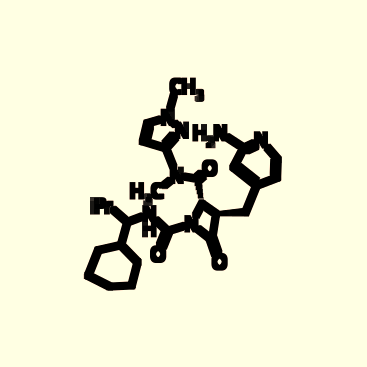 CC(C)C(NC(=O)N1C(=O)[C@H](Cc2ccnc(N)c2)[C@H]1C(=O)N(C)c1ccn(C)n1)C1CCCCC1